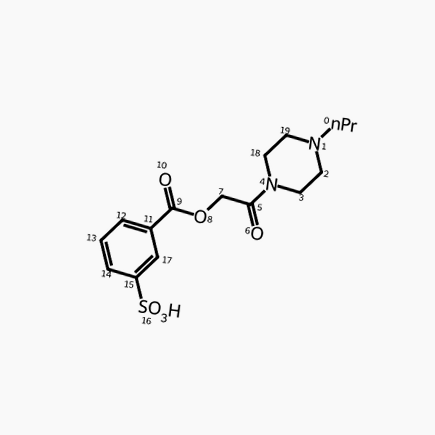 CCCN1CCN(C(=O)COC(=O)c2cccc(S(=O)(=O)O)c2)CC1